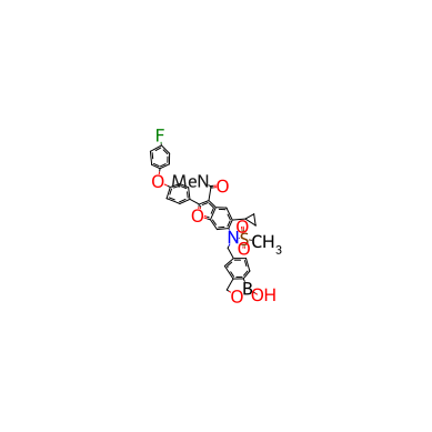 CNC(=O)c1c(-c2ccc(Oc3ccc(F)cc3)cc2)oc2cc(N(Cc3ccc4c(c3)COB4O)S(C)(=O)=O)c(C3CC3)cc12